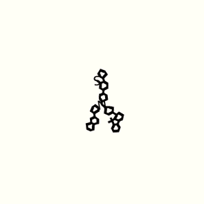 CC1(C)c2ccccc2-c2cccc(-c3ccc(N(c4ccc(-c5ccc6c(c5)sc5ccccc56)cc4)c4cccc(-c5ccc6ccccc6c5)c4)cc3)c21